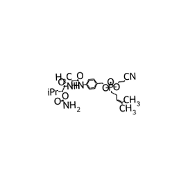 CC(C)=CCCP(=O)(OCCC#N)OCc1ccc(NC(=O)[C@H](C)NC(=O)[C@@H](OC(N)=O)C(C)C)cc1